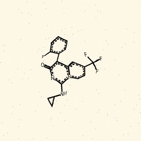 O=c1nc(NC2CC2)n2ccc(C(F)(F)F)cc2c1-c1ccccc1F